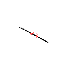 CCCCCCCCCCC=CCOC(=O)CCCC(=O)OCC=CCCCCCCCCCC